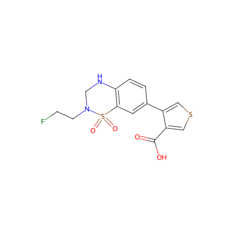 O=C(O)c1cscc1-c1ccc2c(c1)S(=O)(=O)N(CCF)CN2